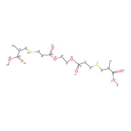 COC(=O)C(C)CSCCC(=O)OCCOC(=O)CCSCC(C)C(=O)OC